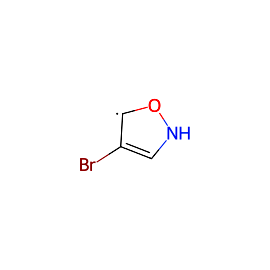 BrC1=CNO[CH]1